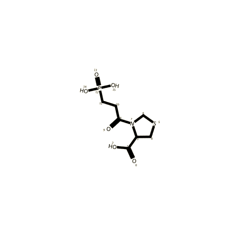 O=C(O)C1CSCN1C(=O)CCP(=O)(O)O